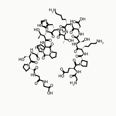 C[C@@H](O)[C@H](NC(=O)[C@H](CCCCN)NC(=O)[C@H](CC(=O)O)NC(=O)[C@H](CO)NC(=O)[C@H](CCCCN)NC(=O)[C@@H]1CCCN1C(=O)[C@H](CCC(=O)O)NC(=O)CN)C(=O)N[C@@H](Cc1c[nH]cn1)C(=O)N[C@H](C(=O)N[C@@H](CO)C(=O)N1CCC[C@H]1C(=O)N1CCC[C@H]1C(=O)N[C@@H](CO)C(=O)N1CCC[C@H]1C(=O)NCC(=O)NCC(=O)O)[C@@H](C)O